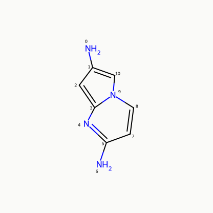 Nc1cc2nc(N)ccn2c1